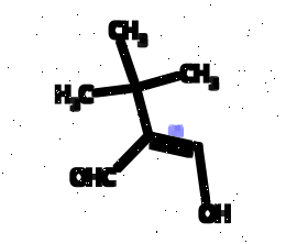 CC(C)(C)/C(C=O)=C/O